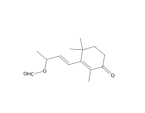 CC1=C(C=CC(C)OC=O)C(C)(C)CCC1=O